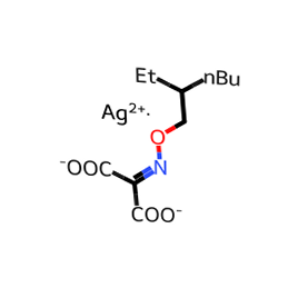 CCCCC(CC)CON=C(C(=O)[O-])C(=O)[O-].[Ag+2]